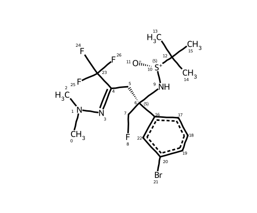 CN(C)N=C(C[C@](CF)(N[S@+]([O-])C(C)(C)C)c1cccc(Br)c1)C(F)(F)F